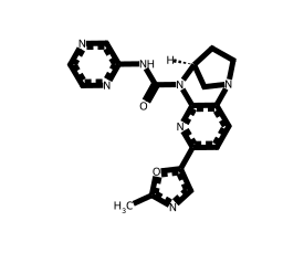 Cc1ncc(-c2ccc3c(n2)N(C(=O)Nc2cnccn2)[C@H]2CCN3C2)o1